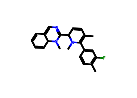 CC1=C(c2ccc(C)c(F)c2)N(C)C(C2=NC=C3C=CC=CC3N2C)C=C1